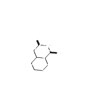 O=C1CC2CCCCC2C(=O)N1